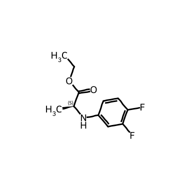 CCOC(=O)[C@H](C)Nc1ccc(F)c(F)c1